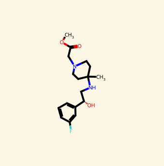 COC(=O)CN1CCC(C)(NC[C@H](O)c2cccc(F)c2)CC1